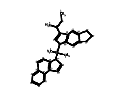 CCC(C)C1=CC([Si](C)(C)C2C=Cc3c2ccc2ccccc32)c2cc3c(cc21)CCC3